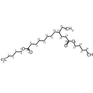 CCCCCOC(=O)CCCCCCCC(CC)CCC(=O)OCCCCC